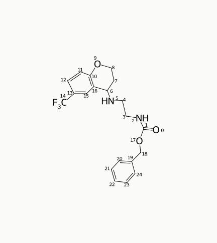 O=C(NCCNC1CCOc2ccc(C(F)(F)F)cc21)OCc1ccccc1